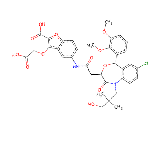 COc1cccc([C@H]2O[C@H](CC(=O)Nc3ccc4oc(C(=O)O)c(OCC(=O)O)c4c3)C(=O)N(CC(C)(C)CO)c3ccc(Cl)cc32)c1OC